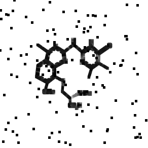 COc1ccc2c(C)nc(Nc3nc(C)c(C)c(=O)[nH]3)nc2c1SC[C@H](NC(C)=O)C(=O)O